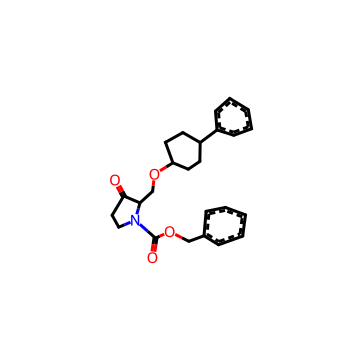 O=C1CCN(C(=O)OCc2ccccc2)C1COC1CCC(c2ccccc2)CC1